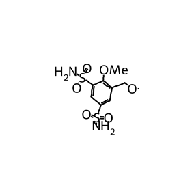 COc1c(C[O])cc(S(N)(=O)=O)cc1S(N)(=O)=O